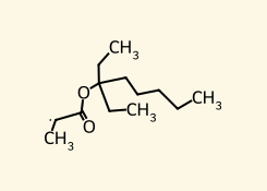 C[CH]C(=O)OC(CC)(CC)CCCCC